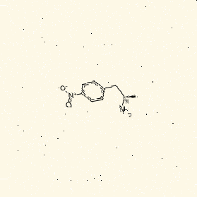 [CH2][C@@H](N)Cc1ccc([N+](=O)[O-])cc1